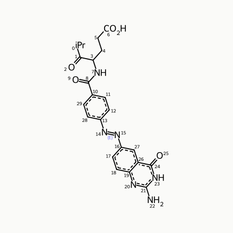 CC(C)C(=O)C(CCC(=O)O)NC(=O)c1ccc(/N=N/c2ccc3nc(N)[nH]c(=O)c3c2)cc1